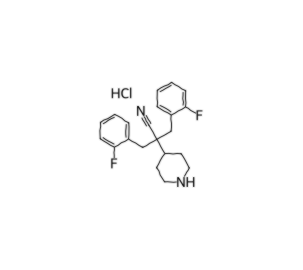 Cl.N#CC(Cc1ccccc1F)(Cc1ccccc1F)C1CCNCC1